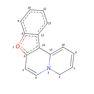 C1=CCN2C=Cc3oc4ccccc4c3C2=C1